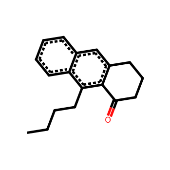 CCCCc1c2c(cc3ccccc13)CCCC2=O